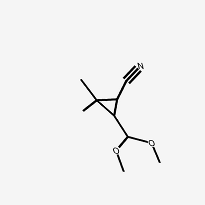 COC(OC)C1C(C#N)C1(C)C